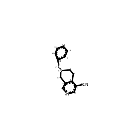 N#Cc1cncc2c1CCN(Cc1ccccc1)C2